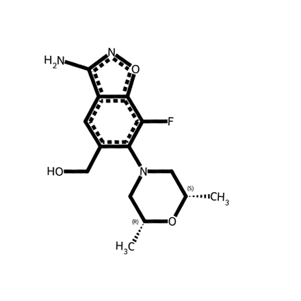 C[C@@H]1CN(c2c(CO)cc3c(N)noc3c2F)C[C@H](C)O1